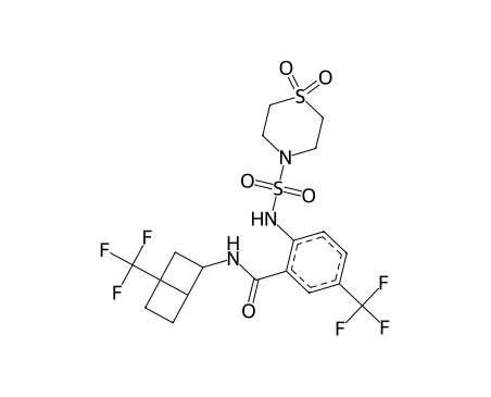 O=C(NC1CC2(C(F)(F)F)CCC12)c1cc(C(F)(F)F)ccc1NS(=O)(=O)N1CCS(=O)(=O)CC1